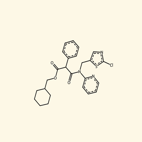 O=C(OCC1CCCCC1)C(C(=O)N(Cc1cnc(Cl)s1)c1ccccn1)c1ccccc1